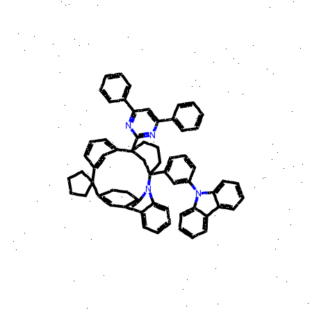 C1=C2CCc3c1c1ccccc1n3C1(c3cccc(-n4c5ccccc5c5ccccc54)c3)CCCC(c3nc(-c4ccccc4)cc(-c4ccccc4)n3)(C1)c1cccc(c1)C21CCCC1